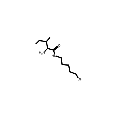 CCC(C)[C@H](N)C(=O)NCCCCCO